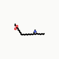 CCCCCCCCC(CCCCCCCC/C=C\CCCCCC(=O)OCC)CN(C)C